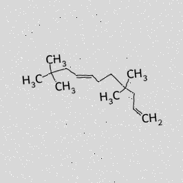 C=CCC(C)(C)CCC=CCC(C)(C)C